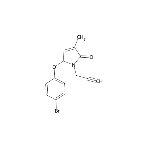 C#CCN1C(=O)C(C)=CC1Oc1ccc(Br)cc1